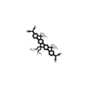 CCCC1(CCC)c2cc3c(cc2=c2cc4c(cc21)=c1ccc(=C(C#N)C#N)cc1C4(C)C)C(C)(C)c1cc(=C(C#N)C#N)ccc1=3